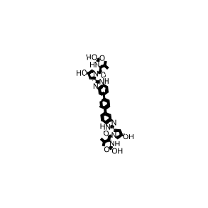 CC(C)[C@H](NC(=O)O)C(=O)N1C[C@H](O)C[C@H]1c1nc2cc(-c3ccc(-c4ccc5[nH]c([C@@H]6C[C@@H](O)CN6C(=O)[C@@H](NC(=O)O)C(C)C)nc5c4)cc3)ccc2[nH]1